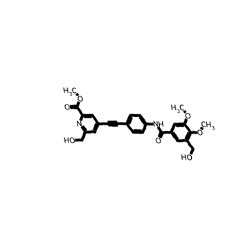 COC(=O)c1cc(C#Cc2ccc(NC(=O)c3cc(CO)c(OC)c(OC)c3)cc2)cc(CO)n1